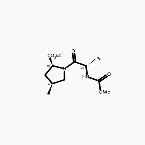 CCOC(=O)[C@@H]1C[C@H](C)CN1C(=O)[C@@H](NC(=O)OC)C(C)C